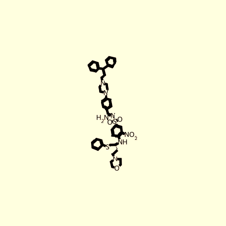 N/C(=N\S(=O)(=O)c1ccc(N[C@H](CCN2CCOCC2)CSc2ccccc2)c([N+](=O)[O-])c1)c1ccc(N2CCN(CC=C(c3ccccc3)c3ccccc3)CC2)cc1